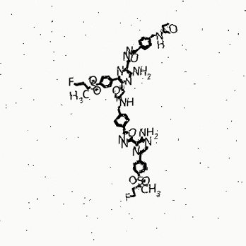 CC(CCF)S(=O)(=O)c1ccc(-c2cnc(N)c(-c3nnc(-c4ccc(CN[C@H]5CO[C@@H](c6nc(N)c(-c7nnc(-c8ccc(CN[C@H]9CCOC9)cc8)o7)nc6-c6ccc(S(=O)(=O)C(C)CCF)cc6)C5)cc4)o3)n2)cc1